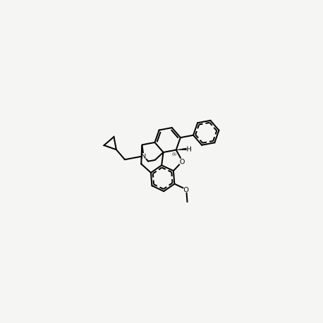 COc1ccc2c3c1O[C@H]1C(c4ccccc4)=CC=C4C(C2)N(CC2CC2)CCC431